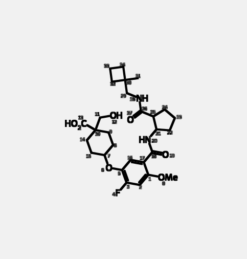 COc1cc(F)c(OC2CCC(CO)(C(=O)O)CC2)cc1C(=O)NC1CCCC1C(=O)NCC1(C)CCC1